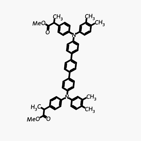 COC(=O)C(C)c1ccc(N(c2ccc(-c3ccc(-c4ccc(N(c5ccc(C(C)C(=O)OC)cc5)c5ccc(C)c(C)c5)cc4)cc3)cc2)c2ccc(C)c(C)c2)cc1